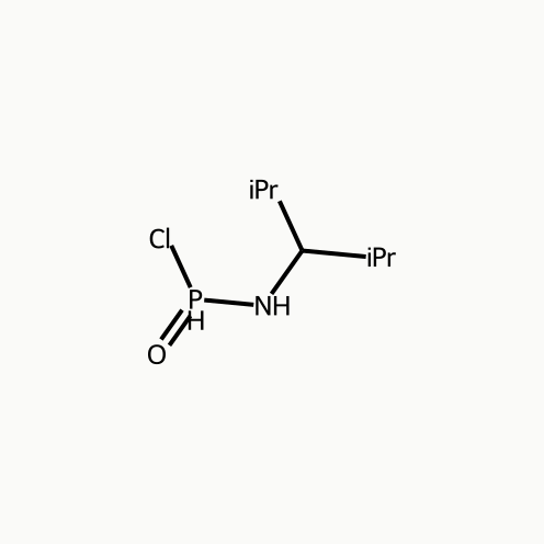 CC(C)C(N[PH](=O)Cl)C(C)C